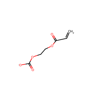 C=CC(=O)OCCOC([O])=O